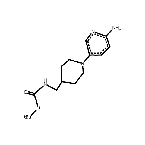 CC(C)(C)OC(=O)NCC1CCN(c2ccc(N)nc2)CC1